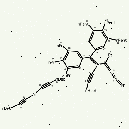 CCCCCCCC#CC(C(=C=[N+]=[N-])CC)=C(c1cc(CCC)c(CCC)c(CCC)c1)c1cc(CCCCC)c(CCCCC)c(CCCCC)c1.CCCCCCCCCCC#[C][Ni][C]#CCCCCCCCCCC